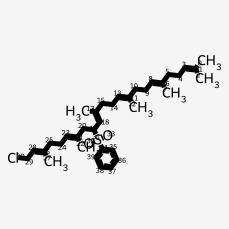 CC(C)=CCC/C(C)=C/CC/C(C)=C/CC/C(C)=C/C(C/C(C)=C/CC/C(C)=C/CCl)S(=O)(=O)c1ccccc1